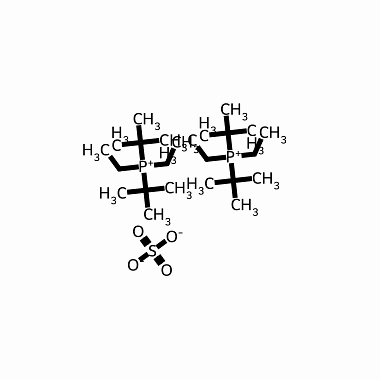 CC[P+](CC)(C(C)(C)C)C(C)(C)C.CC[P+](CC)(C(C)(C)C)C(C)(C)C.O=S(=O)([O-])[O-]